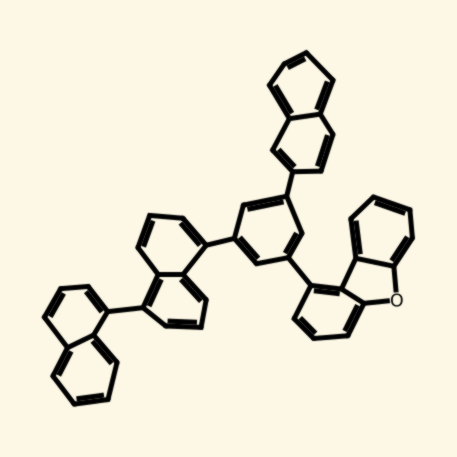 c1ccc2cc(-c3cc(-c4cccc5c(-c6cccc7ccccc67)cccc45)cc(-c4cccc5oc6ccccc6c45)c3)ccc2c1